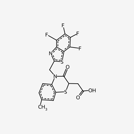 Cc1ccc2c(c1)SC(CC(=O)O)C(=O)N2Cc1nc2c(F)c(F)c(F)c(F)c2s1